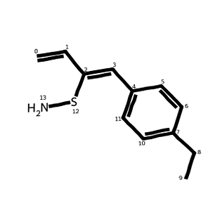 C=C/C(=C/c1ccc(CC)cc1)SN